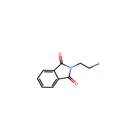 O=C1c2ccccc2C(=O)N1CCI